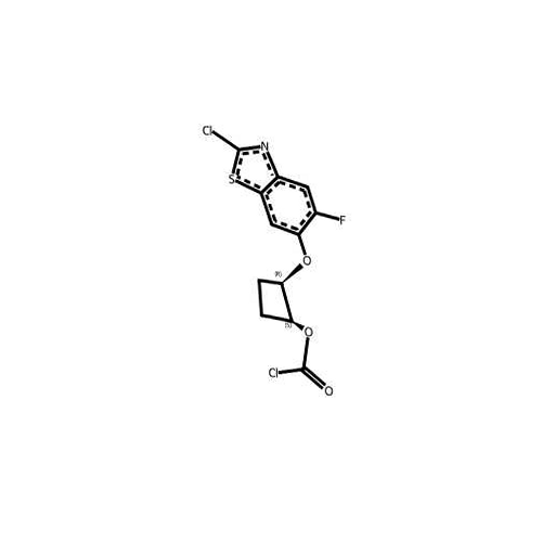 O=C(Cl)O[C@H]1CC[C@H]1Oc1cc2sc(Cl)nc2cc1F